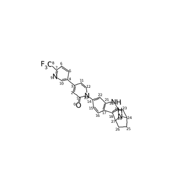 O=c1cc(-c2ccc(C(F)(F)F)nc2)ccn1-c1ccc2c3c([nH]c2c1)CC1CCC3N1